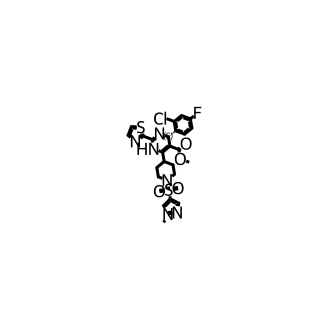 COC(=O)C1=C(C2CCN(S(=O)(=O)c3cnn(C)c3)CC2)NC(c2nccs2)=N[C@@H]1c1ccc(F)cc1Cl